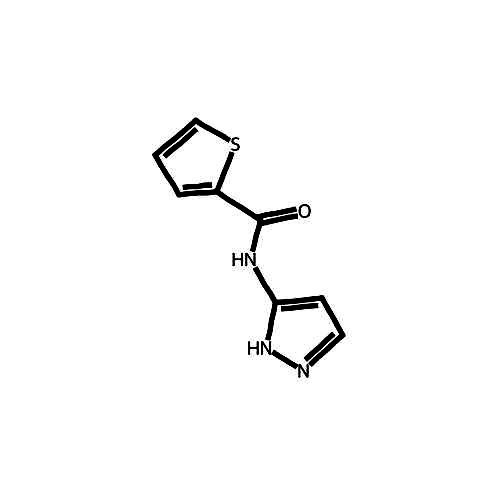 O=C(Nc1ccn[nH]1)c1cccs1